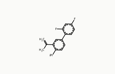 C=C(C)c1cc(-c2ccc(F)cc2F)ccc1C(C)C